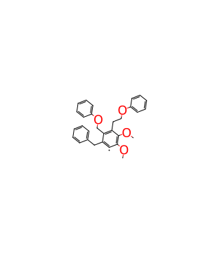 COc1[c]c(Cc2ccccc2)c(COc2ccccc2)c(CCOc2ccccc2)c1OC